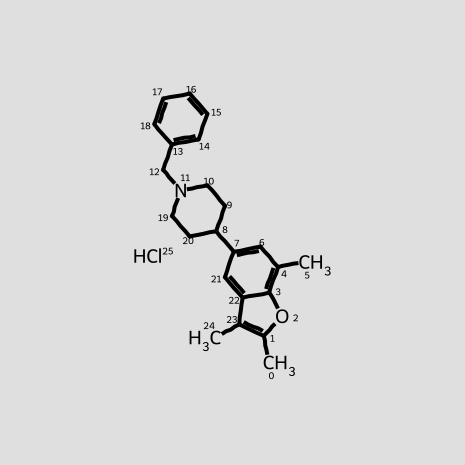 Cc1oc2c(C)cc(C3CCN(Cc4ccccc4)CC3)cc2c1C.Cl